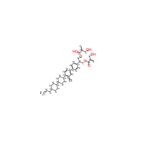 C=C(CO)C(=O)OCC(COC(O)C(=C)CO)c1ccc(-c2ccc(C3CCC(C4CCC(CCC(F)(F)F)CC4)CC3)c(CC)c2)cc1